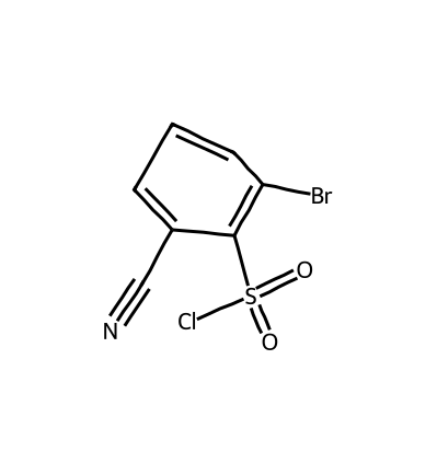 N#Cc1cccc(Br)c1S(=O)(=O)Cl